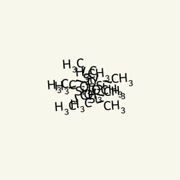 CCC[Si](C)(CCC)[O][Ti]([O][Si](C)(CCC)CCC)([O][Si](C)(CCC)CCC)[O][Si](C)(CCC)CCC